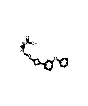 O=C(O)[C@@H]1C[C@H]1COCC1CC(c2cccc(Oc3ccccc3)c2)C1